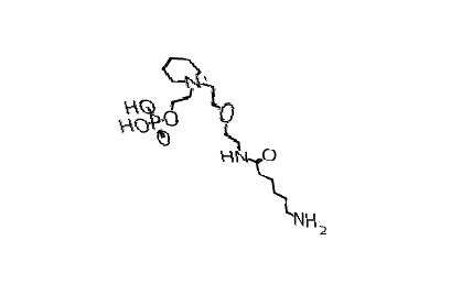 NCCCCCC(=O)NCCOCC[N+]1(CCOP(=O)(O)O)CCCCC1